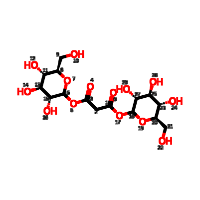 O=C(CC(=O)OC1O[C@H](CO)[C@@H](O)[C@H](O)[C@H]1O)OC1O[C@H](CO)[C@@H](O)[C@H](O)[C@H]1O